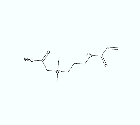 C=CC(=O)NCCC[N+](C)(C)CC(=O)OC